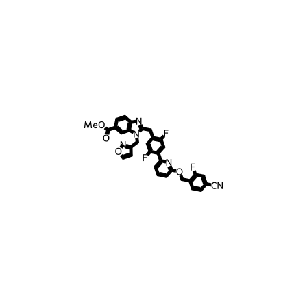 COC(=O)c1ccc2nc(Cc3cc(F)c(-c4cccc(OCc5ccc(C#N)cc5F)n4)cc3F)n(Cc3ccon3)c2c1